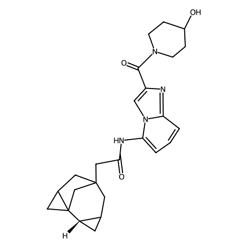 O=C(CC12CC3C[C@@H]3C3(CC3C1)C2)Nc1cccc2nc(C(=O)N3CCC(O)CC3)cn12